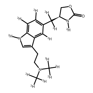 [2H]c1c(C([2H])([2H])[C@H]2COC(=O)N2[2H])c([2H])c2c(CCN(C([2H])([2H])[2H])C([2H])([2H])[2H])cn([2H])c2c1[2H]